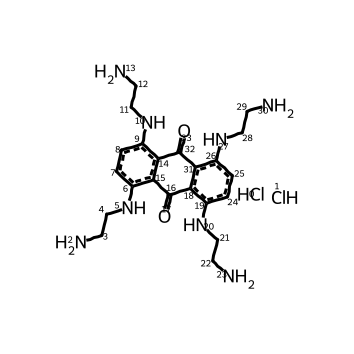 Cl.Cl.NCCNc1ccc(NCCN)c2c1C(=O)c1c(NCCN)ccc(NCCN)c1C2=O